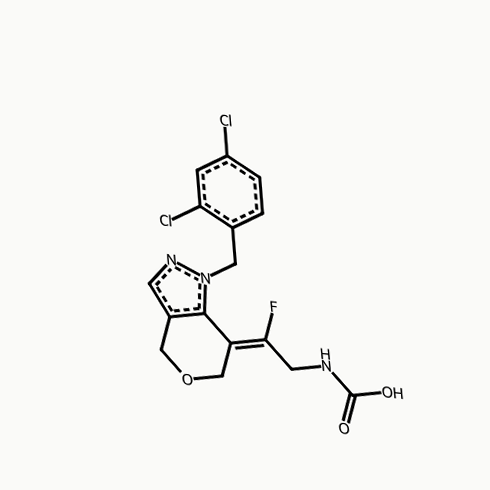 O=C(O)NCC(F)=C1COCc2cnn(Cc3ccc(Cl)cc3Cl)c21